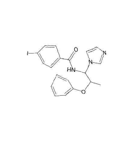 CC(Oc1ccccc1)C(NC(=O)c1ccc(I)cc1)n1ccnc1